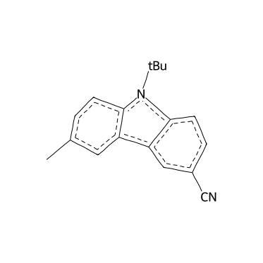 Cc1ccc2c(c1)c1cc(C#N)ccc1n2C(C)(C)C